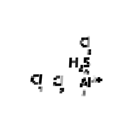 S.[Al+3].[Cl-].[Cl-].[Cl-]